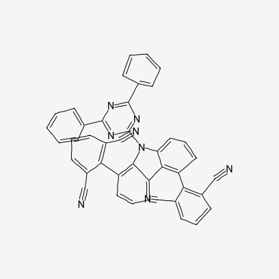 N#Cc1cccc(C#N)c1-c1cccc2c1c1cccc(-c3c(C#N)cccc3C#N)c1n2-c1nc(-c2ccccc2)nc(-c2ccccc2)n1